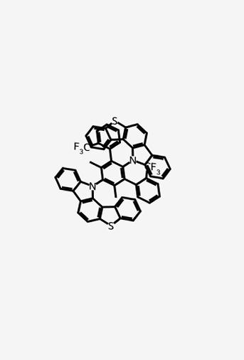 Cc1c(-c2ccccc2C(F)(F)F)c(-n2c3ccccc3c3ccc4sc5ccccc5c4c32)c(-c2ccccc2C(F)(F)F)c(C)c1-n1c2ccccc2c2ccc3sc4ccccc4c3c21